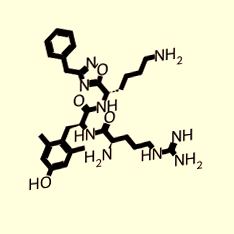 Cc1cc(O)cc(C)c1C[C@H](NC(=O)[C@@H](N)CCCNC(=N)N)C(=O)N[C@@H](CCCCN)c1nc(Cc2ccccc2)no1